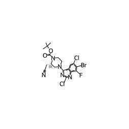 CC(C)(C)OC(=O)N1CCN(c2nc(Cl)nc3c(F)c(Br)c(Cl)cc23)C[C@@H]1CC#N